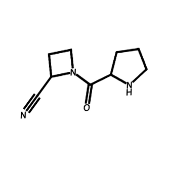 N#CC1CCN1C(=O)C1CCCN1